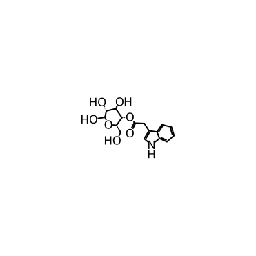 O=C(Cc1c[nH]c2ccccc12)O[C@H]1[C@H](O)[C@@H](O)C(O)O[C@@H]1CO